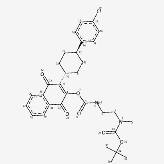 CN(CCNC(=O)OC1=C([C@H]2CC[C@H](c3ccc(Cl)cc3)CC2)C(=O)c2ccccc2C1=O)C(=O)OC(C)(C)C